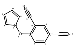 N#Cc1ccc(On2c[c]cc2)c(C#N)c1